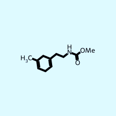 COC(=O)NCCC1=CCC=C(C)C1